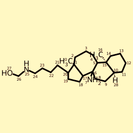 C[C@]12CCCC3C(N)(CC[C@@H]4CCCC[C@]34C)C1CCC2CCCCNCO